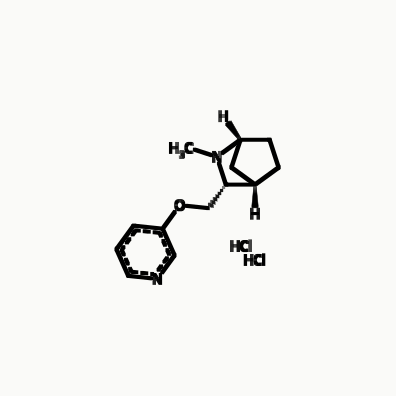 CN1[C@@H]2CC[C@@H](C2)[C@@H]1COc1cccnc1.Cl.Cl